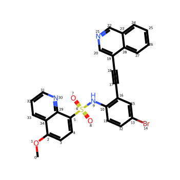 COc1ccc(S(=O)(=O)Nc2ccc(Br)cc2C#Cc2cncc3ccccc23)c2ncccc12